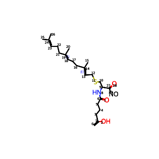 C=C(O)CCCC(=O)NC(CSC/C=C(\C)CC/C=C(\C)CCC=C(C)C)C(=O)N=O